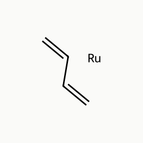 C=CC=C.[Ru]